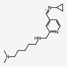 CN(C)CCCCCNCc1cc(/C=N\C2CC2)ccn1